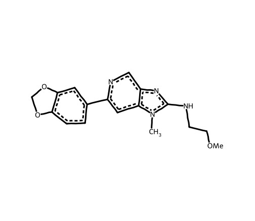 COCCNc1nc2cnc(-c3ccc4c(c3)OCO4)cc2n1C